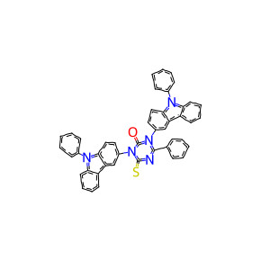 O=c1n(-c2ccc3c(c2)c2ccccc2n3-c2ccccc2)c(-c2ccccc2)nc(=S)n1-c1ccc2c(c1)c1ccccc1n2-c1ccccc1